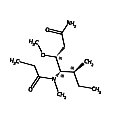 CCC(=O)N(C)[C@@H]([C@@H](C)CC)[C@@H](CC(N)=O)OC